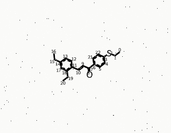 CCSc1ccc(C(=O)/C=C/c2ccc(CC)cc2CC)cc1